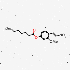 CCCCCCCCCCCCCCCC(=O)Oc1ccc(C=C[N+](=O)[O-])c(OC)c1